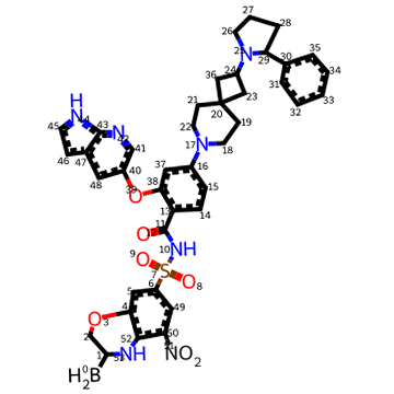 BC1COc2cc(S(=O)(=O)NC(=O)c3ccc(N4CCC5(CC4)CC(N4CCCC4c4ccccc4)C5)cc3Oc3cnc4[nH]ccc4c3)cc([N+](=O)[O-])c2N1